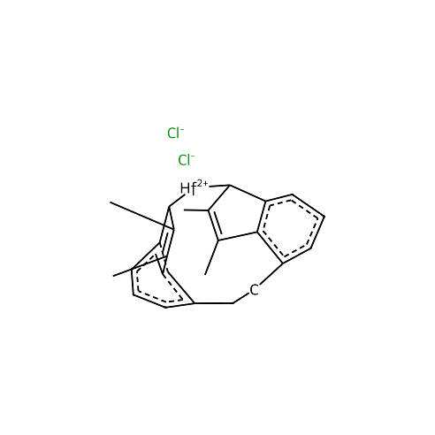 CC1=C(C)[CH]2[Hf+2][CH]3C(C)=C(C)c4c(cccc43)CCc3cccc2c31.[Cl-].[Cl-]